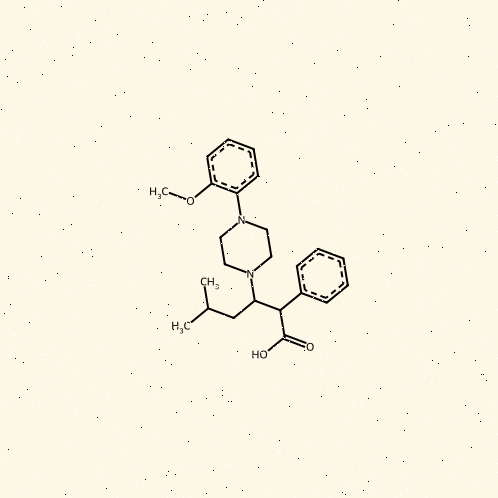 COc1ccccc1N1CCN(C(CC(C)C)C(C(=O)O)c2ccccc2)CC1